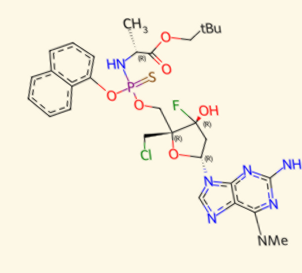 CNc1nc(N)nc2c1ncn2[C@H]1C[C@@](O)(F)[C@@](CCl)(COP(=S)(N[C@H](C)C(=O)OCC(C)(C)C)Oc2cccc3ccccc23)O1